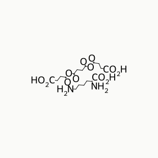 NCCCC[C@H](N)C(=O)O.O=C(O)CCC(=O)OC(=O)CCC(=O)OC(=O)CCC(=O)O